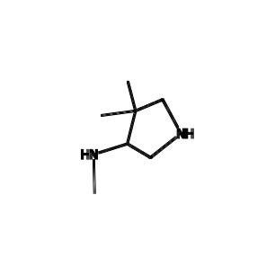 CNC1CNCC1(C)C